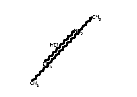 CCCCCCCCCCCCCCCCCCCCCCCCCCCCCCCCC.CCCCCCCCCCCCCCCCN.Cl